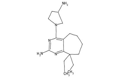 CCC1(CC)CCCCc2c(N3CCC(N)C3)nc(N)nc21